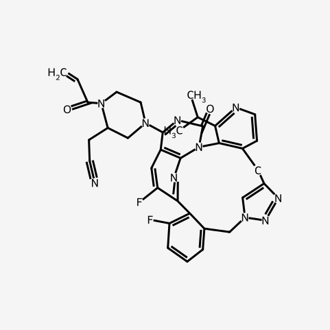 C=CC(=O)N1CCN(c2nc(=O)n3c4nc(c(F)cc24)-c2c(F)cccc2Cn2cc(nn2)Cc2ccnc(C(C)C)c2-3)CC1CC#N